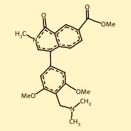 COC(=O)c1ccc2c(-c3cc(OC)c(CN(C)C)c(OC)c3)cn(C)c(=O)c2c1